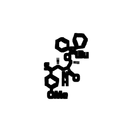 COc1ccc(C(=S)[C@H](C)[C@H]2NC(=O)[C@@H]2[C@@H](C)O[Si](c2ccccc2)(c2ccccc2)C(C)(C)C)cc1